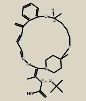 C=C1/C=C/C=N/N/C(=C(\C)[C@H](OC(C)(C)C)C(=C)O)N2CCC(C)(CC2)OCCC[C@@H](C)Oc2ccccc21